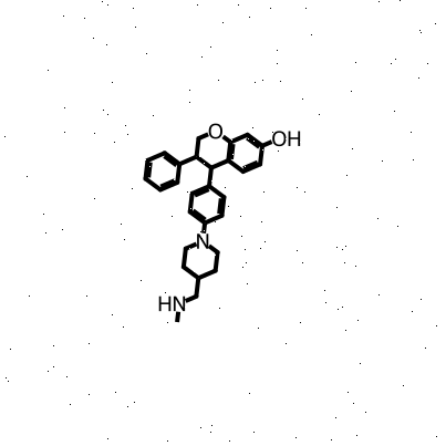 CNCC1CCN(c2ccc(C3c4ccc(O)cc4OCC3c3ccccc3)cc2)CC1